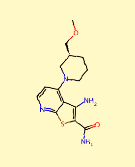 COC[C@H]1CCCN(c2ccnc3sc(C(N)=O)c(N)c23)C1